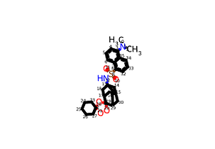 CN(C)c1cccc2c(S(=O)(=O)NC34CC5CC(C3)C3(OOC6(CCCCC6)O3)C(C5)C4)cccc12